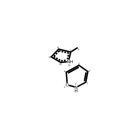 C1=CNOC=C1.Cc1ccc[nH]1